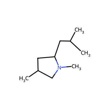 CC(C)CC1CC(C)CN1C